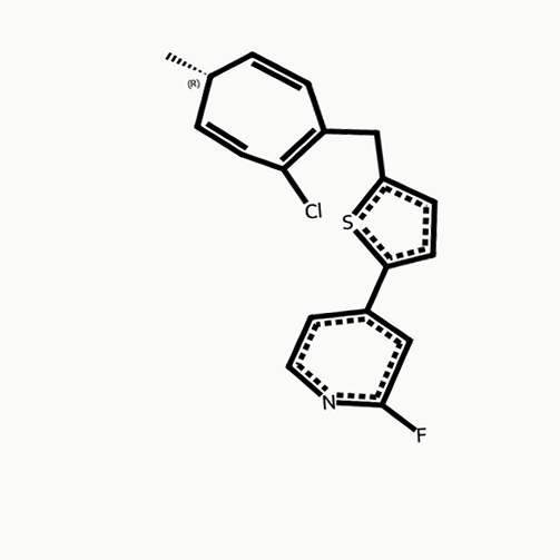 C[C@H]1C=CC(Cl)=C(Cc2ccc(-c3ccnc(F)c3)s2)C=C1